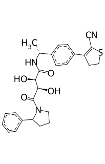 C[C@@H](NC(=O)[C@H](O)[C@@H](O)C(=O)N1CCCC1c1ccccc1)c1ccc(C2=C(C#N)SCC2)cc1